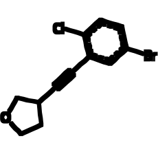 Clc1ccc(Br)cc1C#CC1CCOC1